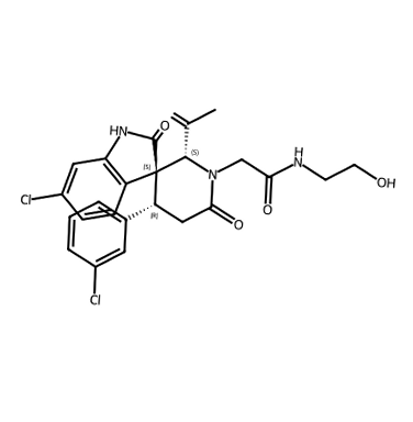 C=C(C)[C@@H]1N(CC(=O)NCCO)C(=O)C[C@H](c2cccc(Cl)c2)[C@@]12C(=O)Nc1cc(Cl)ccc12